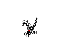 CCCCCCC(C)(C)c1cc(O)c([C@@H]2CC(=O)[C@@H]3C[C@H]2C3(C)C)c(OC(=O)C=CC(=O)O)c1